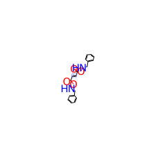 O=C(/C=C/C(=O)ONCc1ccccc1)ONCc1ccccc1